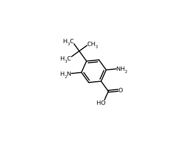 CC(C)(C)c1cc(N)c(C(=O)O)cc1N